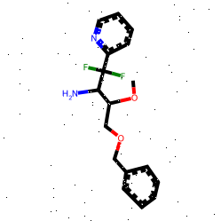 COC(COCc1ccccc1)C(N)C(F)(F)c1ccccn1